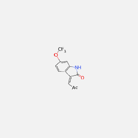 CC(=O)C=C1C(=O)Nc2cc(OC(F)(F)F)ccc21